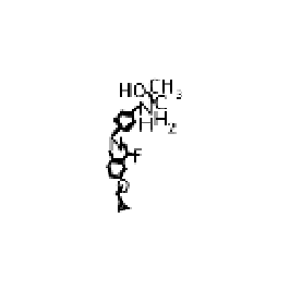 C=C(NCc1ccc(CN2Cc3ccc(OCC4CC4)cc3C(F)C2)cc1)C(C)O